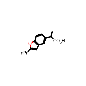 CCCc1cc2cc(C(C)C(=O)O)ccc2o1